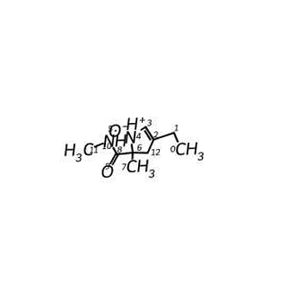 CCC1=C[NH+]([O-])C(C)(C(=O)NC)C1